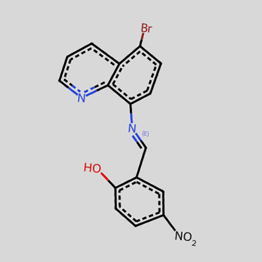 O=[N+]([O-])c1ccc(O)c(/C=N/c2ccc(Br)c3cccnc23)c1